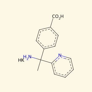 CC(N)(c1ccc(C(=O)O)cc1)c1ccccn1.[KH]